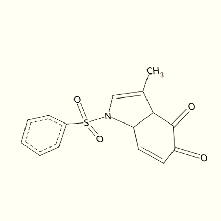 CC1=CN(S(=O)(=O)c2ccccc2)C2C=CC(=O)C(=O)C12